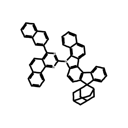 c1ccc2c(c1)-c1c(ccc3c1c1ccc4ccccc4c1n3-c1nc(-c3ccc4ccccc4c3)c3ccc4ccccc4c3n1)C21C2CC3CC(C2)CC1C3